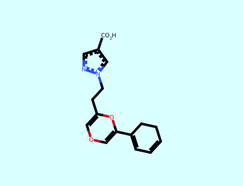 O=C(O)c1cnn(CCC2=COC=C(C3=CC=CCC3)O2)c1